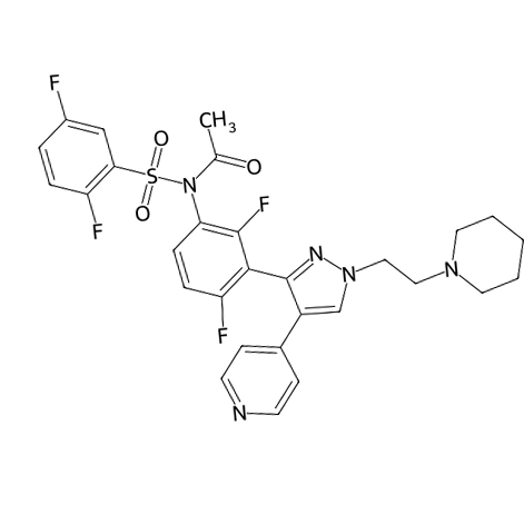 CC(=O)N(c1ccc(F)c(-c2nn(CCN3CCCCC3)cc2-c2ccncc2)c1F)S(=O)(=O)c1cc(F)ccc1F